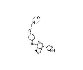 c1cn2c(-c3cn[nH]c3)cnc(Nc3ccc(OCCN4CCOCC4)cc3)c2n1